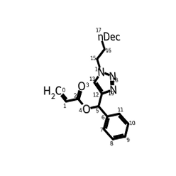 C=CC(=O)OC(c1ccccc1)c1cn(CCCCCCCCCCCC)nn1